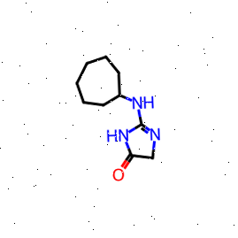 O=C1CN=C(NC2CCCCCC2)N1